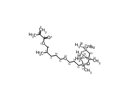 C=C(C)C(=O)OCC(C)CCCOCCC[Si](C)(C)O[Si](C)(C)C[Si](C)(C)CCCC